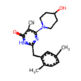 Cc1ccc(C)c(Cc2nc(N3CCC(O)CC3)c(C#N)c(=O)[nH]2)c1